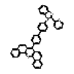 c1ccc(-c2nc3ccccc3n2-c2ccc(-c3ccc(-c4c5ccc6ccccc6c5nc5c4ccc4ccccc45)cc3)cc2)nc1